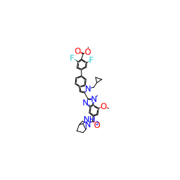 COC(=O)c1c(F)cc(-c2ccc3cc(-c4nc5cc(C(=O)N6CC7CCC6C7N)cc(OC)c5n4C)n(CC4CC4)c3c2)cc1F